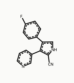 N#Cc1[nH]cc(-c2ccc(F)cc2)c1-c1cccnc1